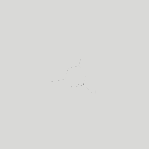 CC(CCBr)OC(N)=O